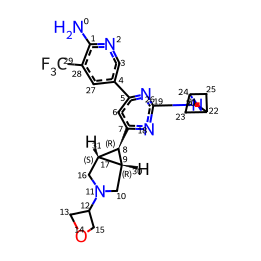 Nc1ncc(-c2cc([C@H]3[C@@H]4CN(C5COC5)C[C@@H]43)nc(N3CC4CC3C4)n2)cc1C(F)(F)F